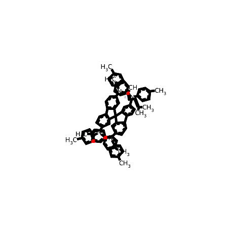 CC(C)=C/C=C(\C)N(c1ccc(C)cc1)c1ccc2c(c1)C1(c3cc(N(c4ccc(C)cc4)c4ccc(C)cc4)ccc3-2)c2cc(N(c3ccc(C)cc3)c3ccc(C)cc3)ccc2-c2ccc(N(c3ccc(C)cc3)c3ccc(C)cc3)cc21